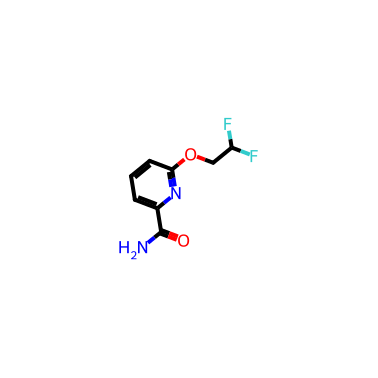 NC(=O)c1cccc(OCC(F)F)n1